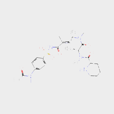 C/C(=C\[C@H](C(C)C)N(C)C(=O)[C@@H](N(C(=O)[C@H]1CCCCN1)C(C)C)C(C)(C)C)C(=O)NS(=O)(=O)c1ccc(NC(=O)C(F)(F)F)cc1